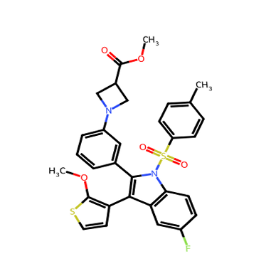 COC(=O)C1CN(c2cccc(-c3c(-c4ccsc4OC)c4cc(F)ccc4n3S(=O)(=O)c3ccc(C)cc3)c2)C1